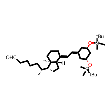 C[C@H](CCCCC=O)[C@H]1CC[C@H]2/C(=C/C=C3C[C@@H](O[Si](C)(C)C(C)(C)C)C[C@H](O[Si](C)(C)C(C)(C)C)C3)CCC[C@]12C